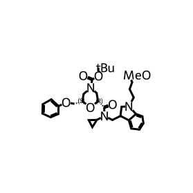 COCCCN1CC(CN(C(=O)[C@H]2CN(C(=O)OC(C)(C)C)C[C@@H](COc3ccccc3)O2)C2CC2)c2ccccc21